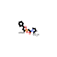 CCCCCCC(CC(=O)c1ccccc1)P(=O)(O)CC(=O)N1CCC[C@H]1C(=O)O